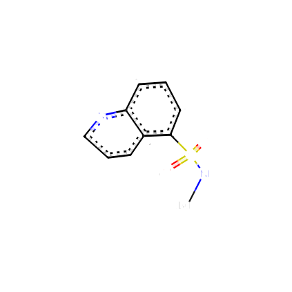 CC(C)(C)NS(=O)(=O)c1cccc2ncccc12